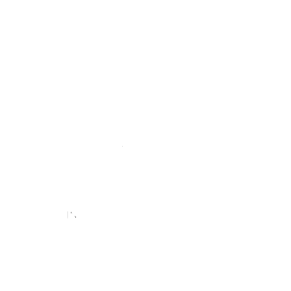 Cc1ccc(-c2cc3c(o2)CNCC3)cc1